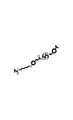 C=C(C)C(=O)OCCCCCCOc1ccc(/C=C/C(=O)O[C@@H]2CO[C@H]3[C@@H]2OC[C@H]3C=Cc2ccc(C(=C)C)cc2)cc1